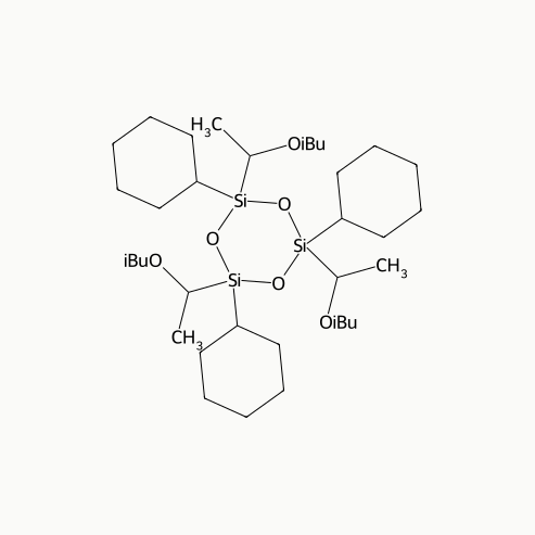 CC(C)COC(C)[Si]1(C2CCCCC2)O[Si](C2CCCCC2)(C(C)OCC(C)C)O[Si](C2CCCCC2)(C(C)OCC(C)C)O1